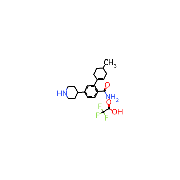 CC1CC=C(c2cc(C3CCNCC3)ccc2C(N)=O)CC1.O=C(O)C(F)(F)F